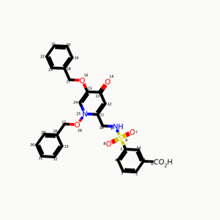 O=C(O)c1cccc(S(=O)(=O)NCc2cc(=O)c(OCc3ccccc3)cn2OCc2ccccc2)c1